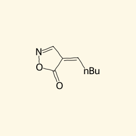 CCCCC=C1C=NOC1=O